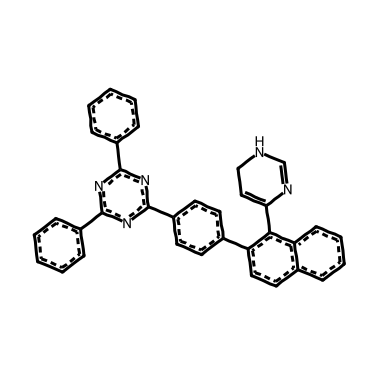 C1=NC(c2c(-c3ccc(-c4nc(-c5ccccc5)nc(-c5ccccc5)n4)cc3)ccc3ccccc23)=CCN1